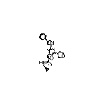 C[C@H](NC(=O)c1cc2nc(-n3cc(-c4ccccc4)cn3)nc(N3CCOCC3)c2o1)C1CC1